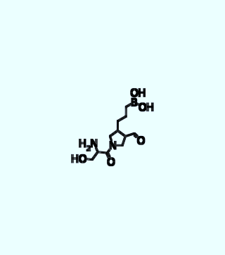 NC(CO)C(=O)N1CC(C=O)C(CCCB(O)O)C1